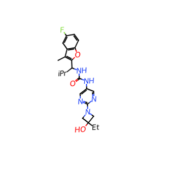 CCC1(O)CN(c2ncc(NC(=O)NC(c3oc4ccc(F)cc4c3C)C(C)C)cn2)C1